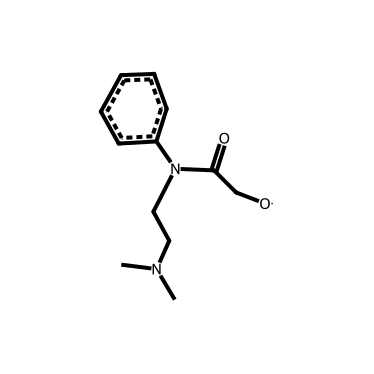 CN(C)CCN(C(=O)C[O])c1ccccc1